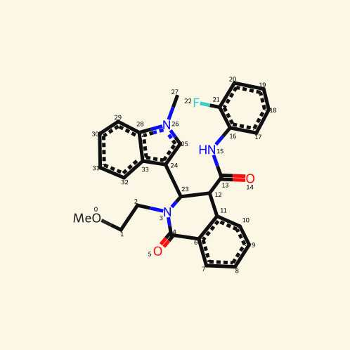 COCCN1C(=O)c2ccccc2C(C(=O)Nc2ccccc2F)C1c1cn(C)c2ccccc12